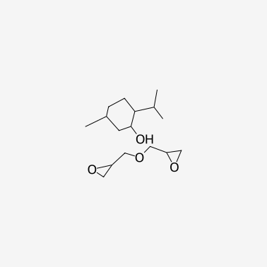 C(OCC1CO1)C1CO1.CC1CCC(C(C)C)C(O)C1